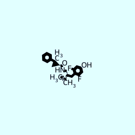 CN(C)[C@H](CNC(=O)[C@@H]1C[C@@]1(C)c1ccccc1)Cc1c(F)cc(O)cc1F